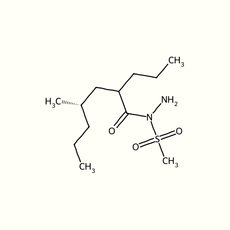 CCCC(C[C@@H](C)CCC)C(=O)N(N)S(C)(=O)=O